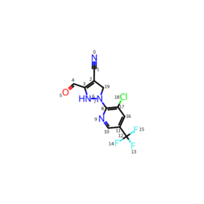 N#CC1=C(C=O)NN(c2ncc(C(F)(F)F)cc2Cl)C1